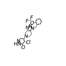 O=c1[nH]ncc(N2CCc3c(nnn3Cc3ccccc3OC(F)F)C2)c1Cl